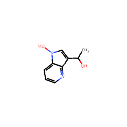 CC(O)c1cn(O)c2cccnc12